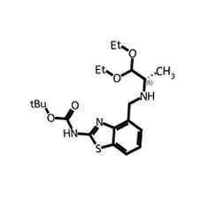 CCOC(OCC)[C@H](C)NCc1cccc2sc(NC(=O)OC(C)(C)C)nc12